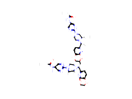 CC(=O)Nc1cnc(N2CCN([C@H](C)c3ccc4c(n3)OC(C[C@@H](c3ccc5c(n3)OCCO5)N3CCN(c5ncc(NC(C)=O)cn5)C[C@H]3C)CO4)[C@H](C)C2)nc1